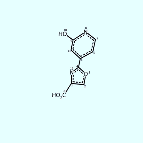 O=C(O)c1coc(-c2ccnc(O)c2)n1